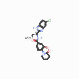 COC[C@H](NC(=O)c1ccc(N2CCCCC2=O)c(Br)c1)c1nc2cc(Cl)ccc2[nH]1